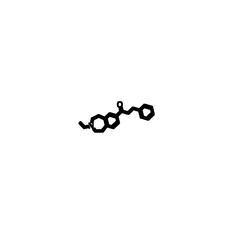 CCN1CCc2ccc(C(=O)CCc3ccccc3)cc2CC1